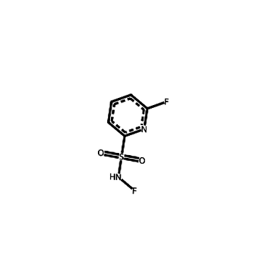 O=S(=O)(NF)c1cccc(F)n1